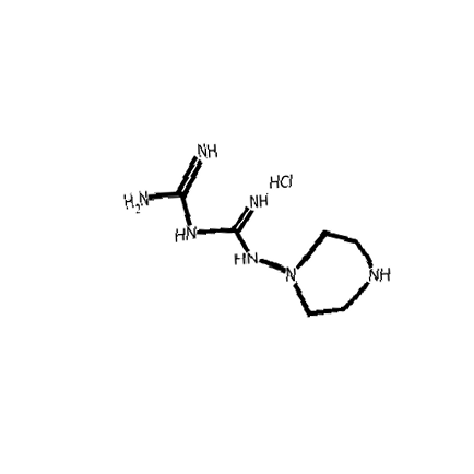 Cl.N=C(N)NC(=N)NN1CCNCC1